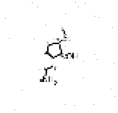 CS[C@@H]1CC[C@@H](CCN)[C@H]1O